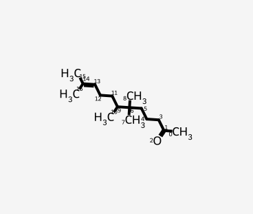 CC(=O)CCCC(C)(C)C(C)CCC=C(C)C